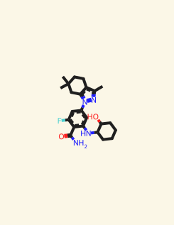 Cc1nn(-c2cc(F)c(C(N)=O)c(NC3CCCCC3O)c2)c2c1CCC(C)(C)C2